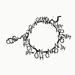 C/C=C/C[C@@H](C)[C@@H](O)[C@H]1C(=O)N[C@@H](CC)C(=O)N(C)CC(=O)N(C)[C@@H]([C@@H](C)OCCCC[N+]2([O-])CCOCC2)C(=O)N[C@@H](C(C)C)C(=O)N(C)[C@@H](CC(C)C)C(=O)N[C@@H](C)C(=O)N[C@H](C)C(=O)N(C)[C@@H](CC(C)C)C(=O)N(C)[C@H](CC(C)C)C(=O)N(C)[C@@H](C(C)C)C(=O)N1C